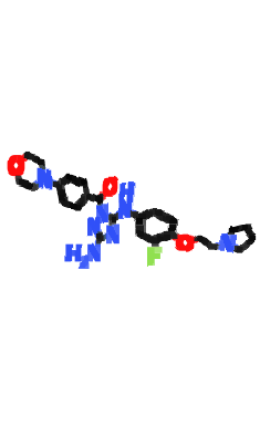 Nc1nc(Nc2ccc(OCCN3CCCC3)c(F)c2)n(C(=O)c2ccc(N3CCOCC3)cc2)n1